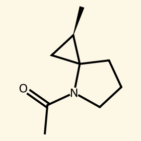 CC(=O)N1CCCC12C[C@H]2C